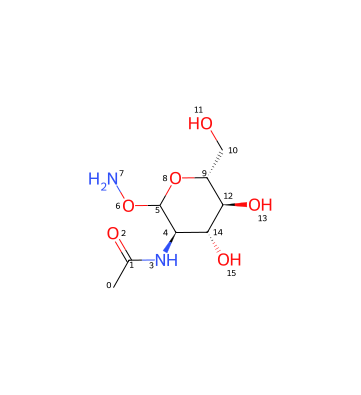 CC(=O)N[C@H]1C(ON)O[C@H](CO)[C@@H](O)[C@@H]1O